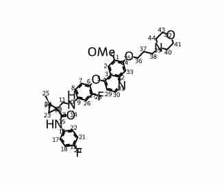 COc1cc2c(Oc3ccc(NC[C@@]4(C(=O)Nc5ccc(F)cc5)C[C@H]4C)cc3F)ccnc2cc1OCCCN1CCOCC1